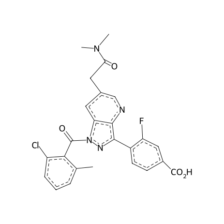 Cc1cccc(Cl)c1C(=O)n1nc(-c2ccc(C(=O)O)cc2F)c2ncc(CC(=O)N(C)C)cc21